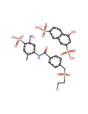 Cc1cc(S(=O)(=O)O)c(N)cc1NC(=O)c1ccc(CS(=O)(=O)CCCl)cc1.O=S(=O)(O)c1ccc2c(O)cc(S(=O)(=O)O)cc2c1